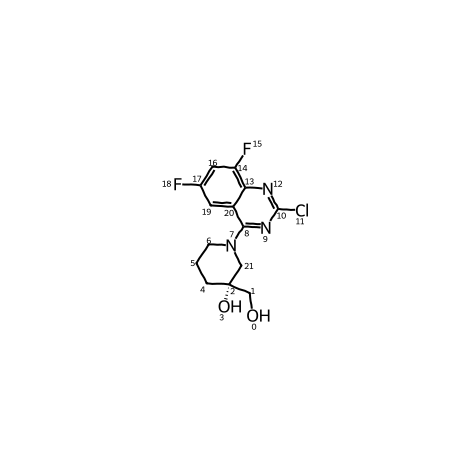 OC[C@@]1(O)CCCN(c2nc(Cl)nc3c(F)cc(F)cc23)C1